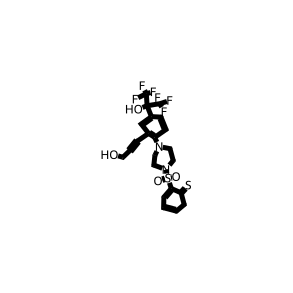 O=S(=O)(C1=CC=CCC1=S)N1CCN(c2ccc(C(O)(C(F)(F)F)C(F)(F)F)cc2C#CCO)CC1